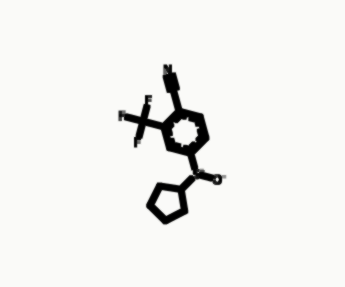 N#Cc1ccc([S+]([O-])C2CCCC2)cc1C(F)(F)F